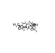 CN(C)c1ccc(C2C3C4CC[C@](C)(C3O)C42C)cc1